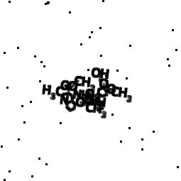 CCOC(=O)c1c(C)nc2cccc(OCC(C)(C)NC(=O)c3ccc(OC)c(OCCO)c3)c2c1N